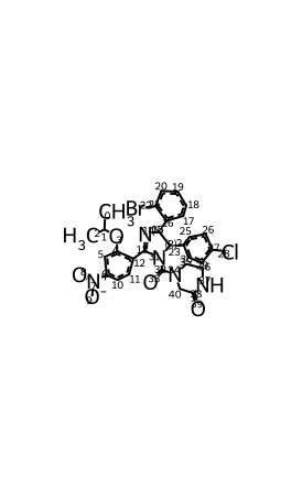 CC(C)Oc1cc([N+](=O)[O-])ccc1C1=N[C@@H](c2ccccc2Br)[C@@H](c2ccc(Cl)cc2)N1C(=O)N1CCNC(=O)C1